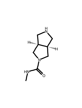 CNC(=O)N1C[C@H]2CNC[C@H]2C1